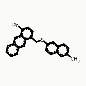 Cc1ccc2cc(SCc3ccc(C(C)C)c4cc5ccccc5cc34)ccc2c1